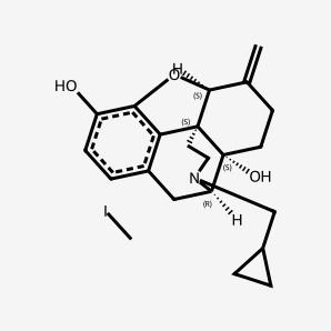 C=C1CC[C@@]2(O)[C@H]3Cc4ccc(O)c5c4[C@@]2(CCN3CC2CC2)[C@H]1O5.CI